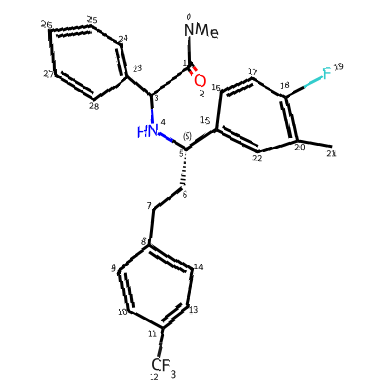 CNC(=O)C(N[C@@H](CCc1ccc(C(F)(F)F)cc1)c1ccc(F)c(C)c1)c1ccccc1